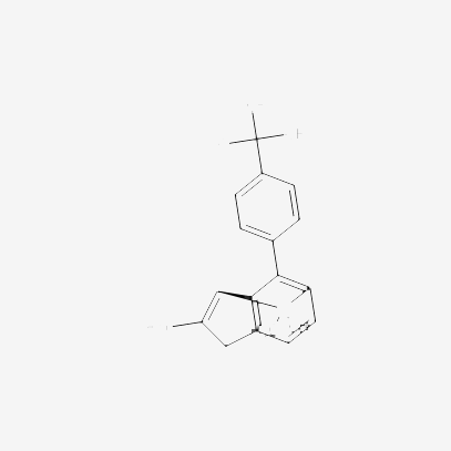 CCCC(C)C1=C2c3c(ccc(c3-c3ccc(C(C(F)(F)F)(C(F)(F)F)C(F)(F)F)cc3)[Si]2(C)C)[CH]1